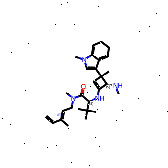 C=C/C(C)=C/CN(C)C(=O)[C@@H](NC1=CC(C)(c2cn(C)c3c2=CCCC=3)[C@@H]1NC)C(C)(C)C